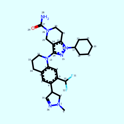 CN1CC(c2cc3c(cc2C(F)F)N(c2nn(C4CCCCC4)c4c2CN(C(N)=O)CC4)CCC3)C=N1